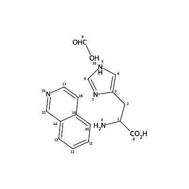 NC(Cc1c[nH]cn1)C(=O)O.O=CO.c1ccc2cnccc2c1